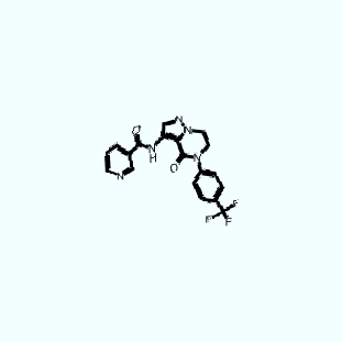 O=C(Nc1cnn2c1C(=O)N(c1ccc(C(F)(F)F)cc1)CC2)c1cccnc1